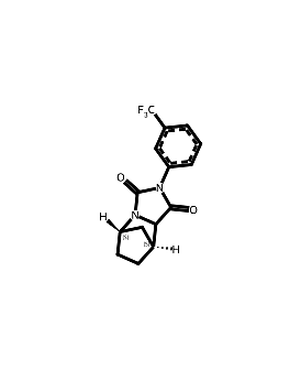 O=C1C2[C@H]3CC[C@@H](C3)N2C(=O)N1c1cccc(C(F)(F)F)c1